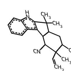 [C-]#[N+]C1C2c3c([nH]c4ccccc34)C(C)(C)C2CC(Cl)C1(C)C=C